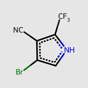 N#Cc1c(Br)c[nH]c1C(F)(F)F